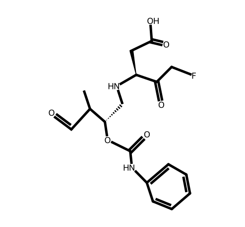 CC(C=O)[C@H](CN[C@@H](CC(=O)O)C(=O)CF)OC(=O)Nc1ccccc1